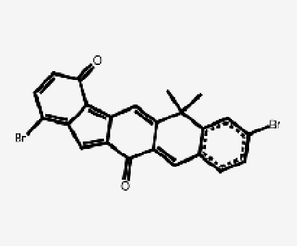 CC1(C)C2=CC3=C4C(=O)C=CC(Br)=C4C=C3C(=O)C2=Cc2ccc(Br)cc21